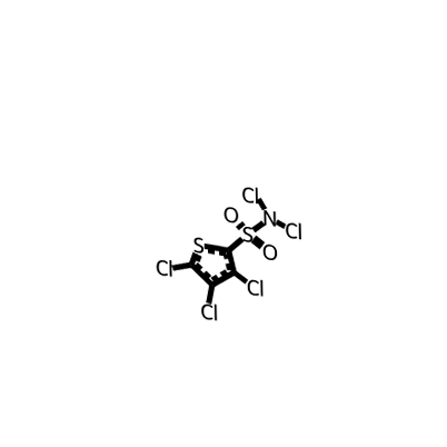 O=S(=O)(c1sc(Cl)c(Cl)c1Cl)N(Cl)Cl